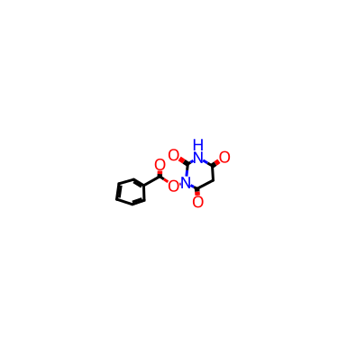 O=C1CC(=O)N(OC(=O)c2ccccc2)C(=O)N1